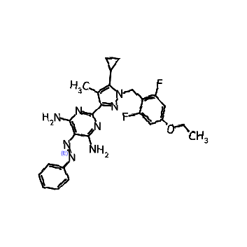 CCOc1cc(F)c(Cn2nc(-c3nc(N)c(/N=N/c4ccccc4)c(N)n3)c(C)c2C2CC2)c(F)c1